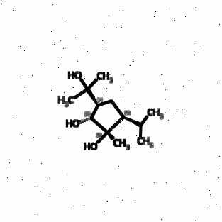 CC(C)[C@@H]1C[C@H](C(C)(C)O)[C@@H](O)[C@@]1(C)O